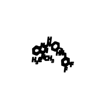 CN(C)c1nc(N[C@H]2CC[C@@H](CNCc3ccc(F)c(F)c3)CC2)nc2ccccc12